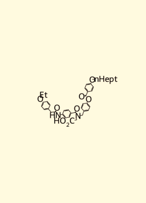 CCCCCCCOc1ccc(C(=O)Oc2ccc(CN(CC(=O)O)C(=O)c3ccc(NC(=O)Cc4ccc(OCC)cc4)cc3)cc2)cc1